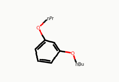 CCCCOc1cccc(OCCC)c1